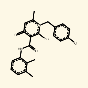 CCCCc1c(C(=O)Nc2cccc(C)c2C)c(=O)cc(C)n1Cc1ccc(Cl)cc1